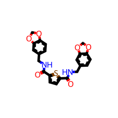 O=C(NCc1ccc2c(c1)OCO2)c1ccc(C(=O)NCc2ccc3c(c2)OCO3)s1